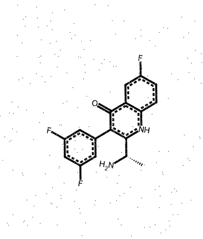 C[C@H](N)c1[nH]c2ccc(F)cc2c(=O)c1-c1cc(F)cc(F)c1